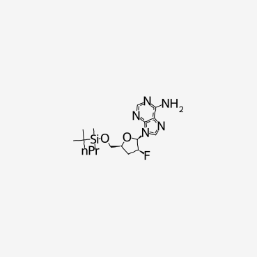 CCCC(C)(C)[Si](C)(C)OC[C@@H]1C[C@H](F)[C@H](n2cnc3c(N)ncnc32)O1